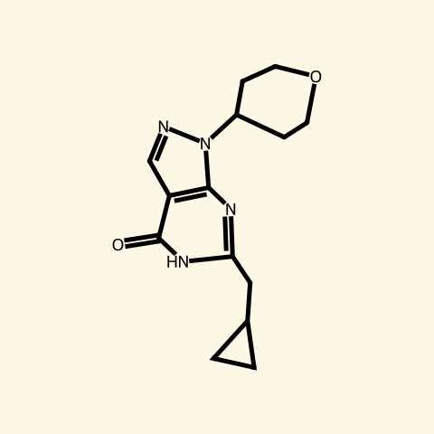 O=c1[nH]c(CC2CC2)nc2c1cnn2C1CCOCC1